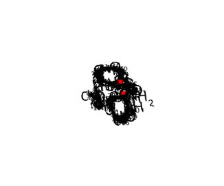 Cc1c2oc3c(C)ccc(C(=O)N[C@@H]4C(=O)N[C@H](C(C)C)C(=O)N5CCC[C@H]5C(=O)N(C)CC(=O)N(C)[C@@H](C(C)C)C(=O)O[C@@H]4C)c3nc-2c(C(=O)N[C@@H]2C(=O)N[C@H](C(C)C)C(=O)N3CCC[C@H]3C(=O)N(C)CC(=O)N(C)[C@@H](C(C)C)C(=O)O[C@@H]2C)c(N)c1=O.O=P1(N(CCCl)CCCl)NCCCO1